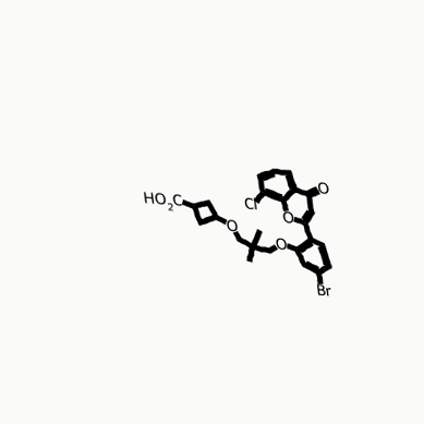 CC(C)(COc1cc(Br)ccc1-c1cc(=O)c2cccc(Cl)c2o1)COC1CC(C(=O)O)C1